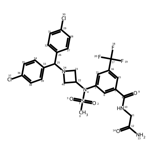 CS(=O)(=O)N(c1cc(C(=O)NCC(N)=O)cc(C(F)(F)F)c1)C1CN(C(c2ccc(Cl)cc2)c2ccc(Cl)cc2)C1